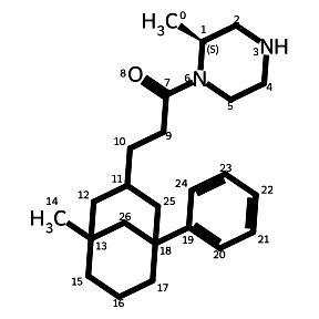 C[C@H]1CNCCN1C(=O)CCC1CC2(C)CCCC(c3ccccc3)(C1)C2